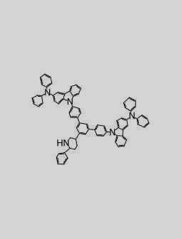 c1ccc(C2CCC(c3cc(-c4ccc(-n5c6ccccc6c6cc(N(c7ccccc7)c7ccccc7)ccc65)cc4)cc(-c4ccc(-n5c6ccccc6c6cc(N(c7ccccc7)c7ccccc7)ccc65)cc4)c3)CN2)cc1